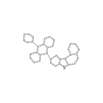 c1ccc(-c2c3ccccc3c(-c3ccc4sc5ccc6ccccc6c5c4c3)c3ccccc23)cc1